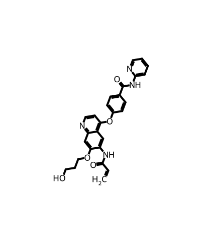 C=CC(=O)Nc1cc2c(Oc3ccc(C(=O)Nc4ccccn4)cc3)ccnc2cc1OCCCO